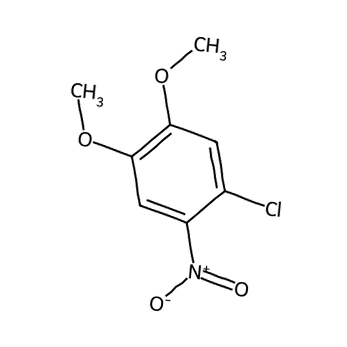 COc1cc(Cl)c([N+](=O)[O-])cc1OC